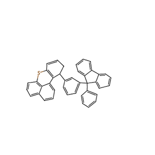 C1=CC2=C(c3cccc4cccc(c34)S2)C(c2cccc(C3(c4ccccc4)c4ccccc4-c4ccccc43)c2)C1